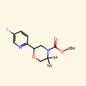 [2H]C1([2H])COC(c2ccc(F)cn2)CN1C(=O)OC(C)(C)C